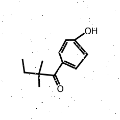 CCC(C)(C)C(=O)c1ccc(O)cc1